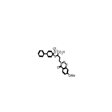 COc1ccc2c(=O)n(CCC(SC3(OC(F)(F)F)C=CC(c4ccccc4)C=C3)C(=O)O)nnc2c1